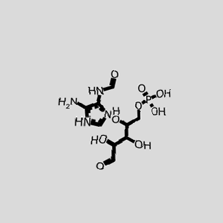 Nc1[nH]cnc1NC=O.O=CC(O)C(O)C(O)COP(=O)(O)O